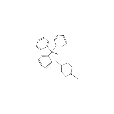 CN1CCC(CSC(c2ccccc2)(c2ccccc2)c2ccccc2)CC1